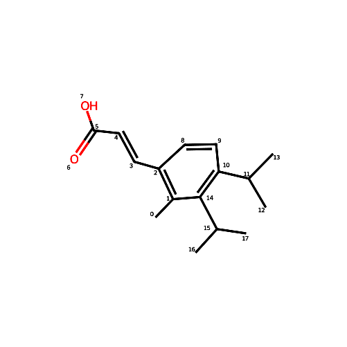 Cc1c(/C=C/C(=O)O)ccc(C(C)C)c1C(C)C